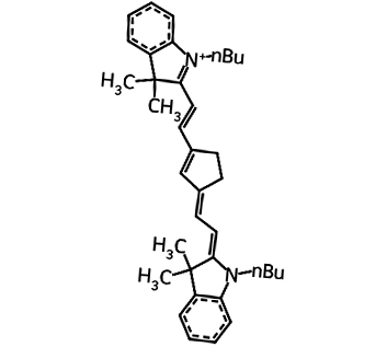 CCCCN1/C(=C/C=C2C=C(/C=C/C3=[N+](CCCC)c4ccccc4C3(C)C)CC/2)C(C)(C)c2ccccc21